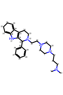 CN(C)CCCN1CCN(CCN2CCc3c([nH]c4c3=CCCC=4)C2c2ccccc2)CC1